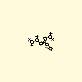 CC(C)(C)c1cc(-c2cccc(N(c3cccc(-c4cc(C(C)(C)C)cc(C(C)(C)C)c4)c3)c3ccc4c(c3)C(C)(C)c3ccccc3-4)c2)cc(-c2cc(C(C)(C)C)cc(C(C)(C)C)c2)c1